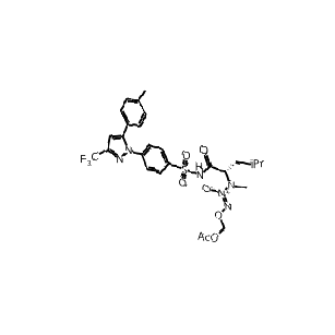 CC(=O)OCON=[N+]([O-])N(C)[C@@H](CC(C)C)C(=O)NS(=O)(=O)c1ccc(-n2nc(C(F)(F)F)cc2-c2ccc(C)cc2)cc1